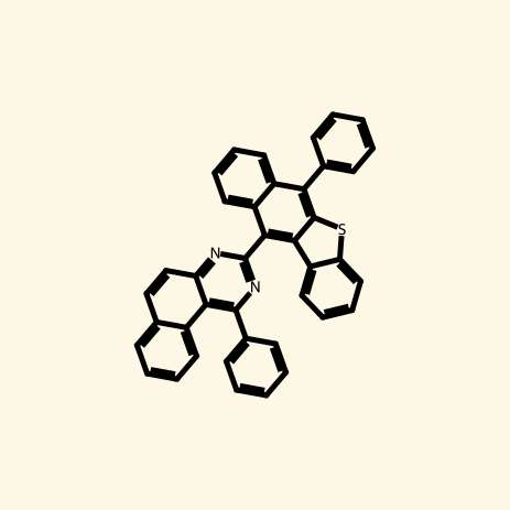 c1ccc(-c2c3ccccc3c(-c3nc(-c4ccccc4)c4c(ccc5ccccc54)n3)c3c2sc2ccccc23)cc1